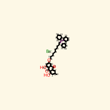 Cc1cc(O)c2c(c1)C(=O)c1cc(OCCCCCCCCCC[P+](c3ccccc3)(c3ccccc3)c3ccccc3)cc(O)c1C2=O.[Br-]